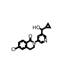 O=C1c2ccc(Cl)cc2CCN1c1cncc(C(O)C2CC2)c1